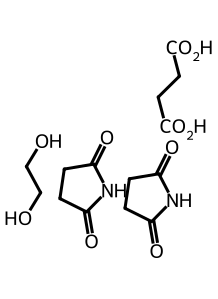 O=C(O)CCC(=O)O.O=C1CCC(=O)N1.O=C1CCC(=O)N1.OCCO